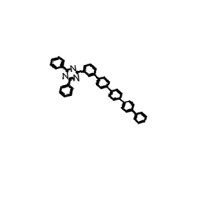 c1ccc(-c2ccc(-c3ccc(-c4ccc(-c5cccc(-c6nc(-c7ccccc7)nc(-c7ccccc7)n6)c5)cc4)cc3)cc2)cc1